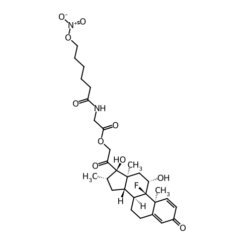 C[C@H]1C[C@H]2[C@@H]3CCC4=CC(=O)C=C[C@]4(C)[C@@]3(F)[C@@H](O)C[C@]2(C)[C@@]1(O)C(=O)COC(=O)CNC(=O)CCCCCO[N+](=O)[O-]